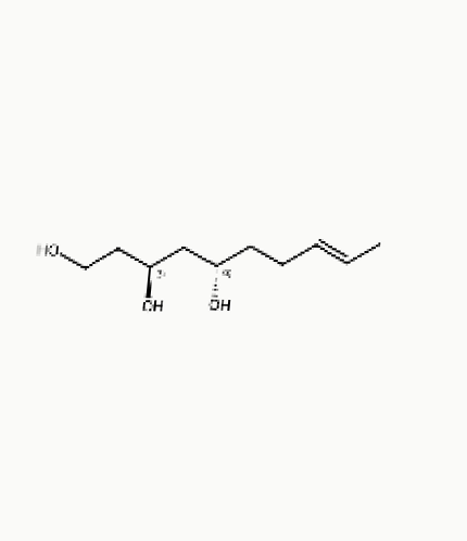 CC=CCC[C@H](O)C[C@@H](O)CCO